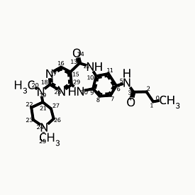 CCCC(=O)Nc1ccc2c(c1)NC(=O)c1cnc(N(C)C3CCN(C)CC3)nc1N2